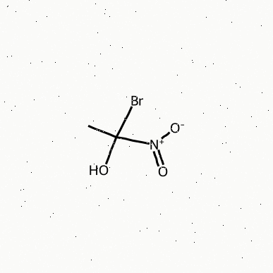 CC(O)(Br)[N+](=O)[O-]